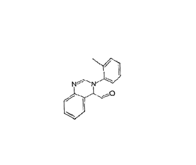 Cc1ccccc1N1C=Nc2ccccc2C1C=O